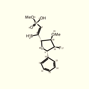 B/C(=C\P(=O)(O)OC)[C@H]1O[C@@H](c2ccccc2)[C@H](F)[C@@H]1OC